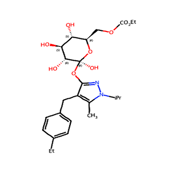 CCOC(=O)OC[C@H]1O[C@@](O)(Oc2nn(C(C)C)c(C)c2Cc2ccc(CC)cc2)[C@H](O)[C@@H](O)[C@@H]1O